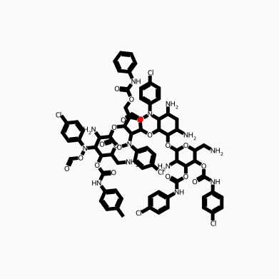 Cc1ccc(NC(=O)OC2C(CN)OC(OC3C(COC(=O)Nc4ccccc4)OC(OC4C(OC5OC(CN)C(OC(=O)Nc6ccc(Cl)cc6)C(OC(=O)Nc6ccc(Cl)cc6)C5N)C(N)CC(N)C4N(OC=O)c4ccc(Cl)cc4)C3N(OC=O)c3ccc(Cl)cc3)C(N)C2N(OC=O)c2ccc(Cl)cc2)cc1